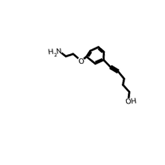 NCCOc1cccc(C#CCCCO)c1